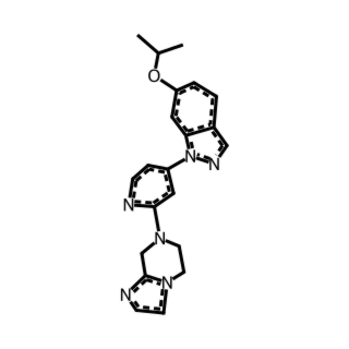 CC(C)Oc1ccc2cnn(-c3ccnc(N4CCn5ccnc5C4)c3)c2c1